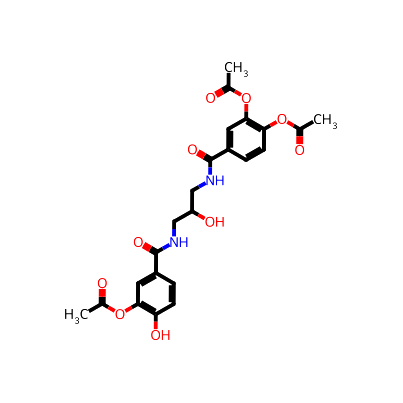 CC(=O)Oc1cc(C(=O)NCC(O)CNC(=O)c2ccc(OC(C)=O)c(OC(C)=O)c2)ccc1O